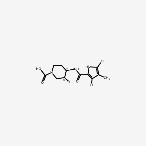 Cc1c(Cl)[nH]c(C(=O)N[C@@H]2CCN(C(=O)O)C[C@@H]2F)c1Cl